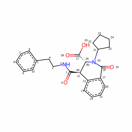 O=C(NCCc1ccccc1)[C@@H]1c2ccccc2C(=O)N(C2CCCC2)[C@H]1C(=O)O